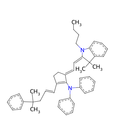 CCCCN1/C(=C/C=C2\CCC(/C=C/CC(C)(C)c3ccccc3)=C2N(c2ccccc2)c2ccccc2)C(C)(C)c2ccccc21